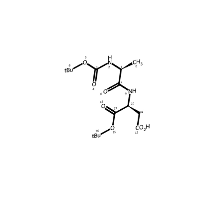 C[C@H](NC(=O)OC(C)(C)C)C(=O)N[C@@H](CC(=O)O)C(=O)OC(C)(C)C